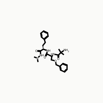 CN(C)NC(=O)[C@@H](CCc1ccccc1)NC(=O)C(COCc1ccccc1)NC(=O)C(C)(C)N